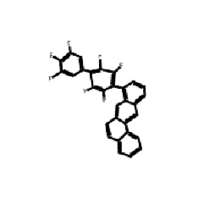 Fc1cc(-c2c(F)c(F)c(-c3cccc4cc5c(ccc6ccccc65)cc34)c(F)c2F)cc(F)c1F